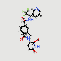 O=C1CCC(N2Cc3cc(C(=O)N[C@H](c4cccnc4)C(F)(F)F)ccc3C2=O)C(=O)N1